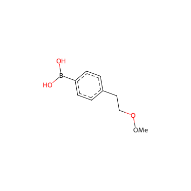 COOCCc1ccc(B(O)O)cc1